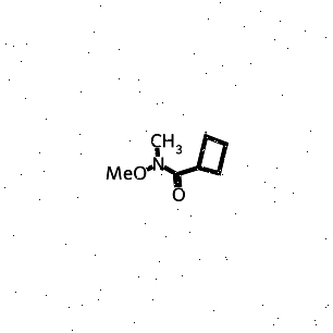 CON(C)C(=O)C1[CH]CC1